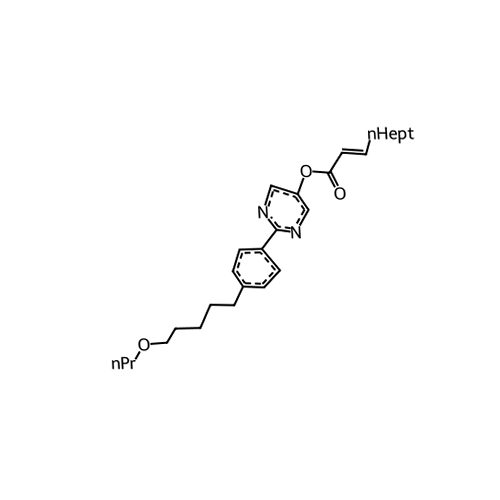 CCCCCCC/C=C/C(=O)Oc1cnc(-c2ccc(CCCCCOCCC)cc2)nc1